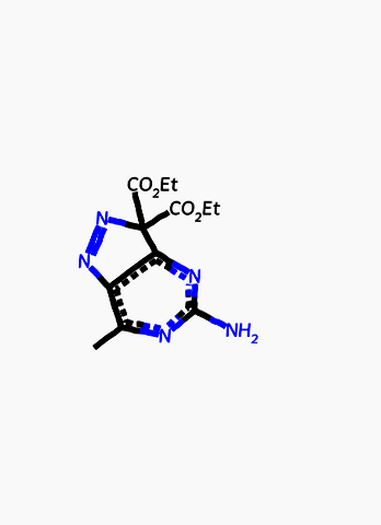 CCOC(=O)C1(C(=O)OCC)N=Nc2c(C)nc(N)nc21